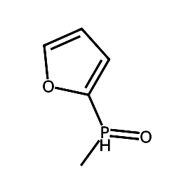 C[PH](=O)c1ccco1